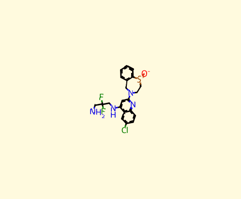 NCC(F)(F)CNc1cc(N2CC[S+]([O-])c3ccccc3C2)nc2ccc(Cl)cc12